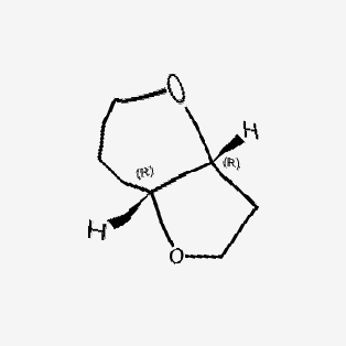 C1C[C@H]2OCC[C@H]2O1